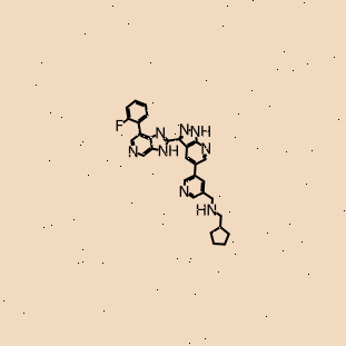 Fc1ccccc1-c1cncc2[nH]c(-c3n[nH]c4ncc(-c5cncc(CNCC6CCCC6)c5)cc34)nc12